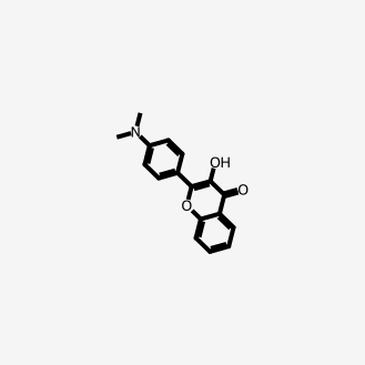 CN(C)c1ccc(-c2oc3ccccc3c(=O)c2O)cc1